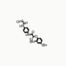 CCC(Oc1ccc(C(C)(C)C)cc1C(C)(C)C)C(=O)Nc1ccc(NNC=O)cc1